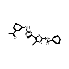 CC(=O)c1cccc(Nc2nc(-c3sc(NC(=O)c4ccccc4)nc3C)cs2)c1